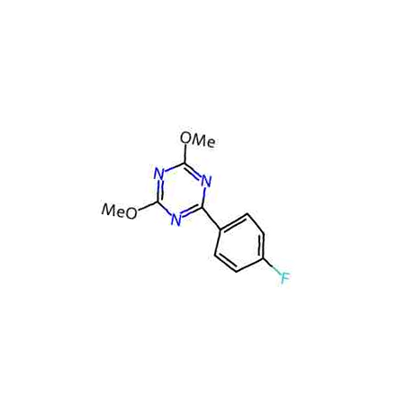 COc1nc(OC)nc(-c2ccc(F)cc2)n1